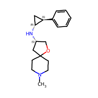 CN1CCC2(CC1)C[C@H](N[C@@H]1C[C@H]1c1ccccc1)CO2